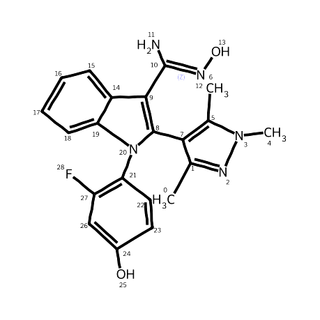 Cc1nn(C)c(C)c1-c1c(/C(N)=N/O)c2ccccc2n1-c1ccc(O)cc1F